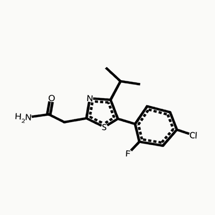 CC(C)c1nc(CC(N)=O)sc1-c1ccc(Cl)cc1F